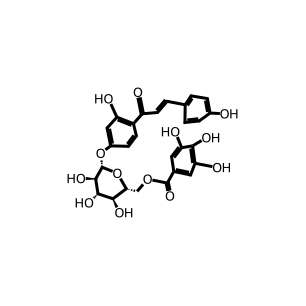 O=C(OC[C@H]1O[C@@H](Oc2ccc(C(=O)C=Cc3ccc(O)cc3)c(O)c2)[C@H](O)[C@@H](O)[C@@H]1O)c1cc(O)c(O)c(O)c1